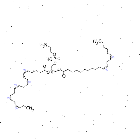 CC/C=C\C/C=C\C/C=C\C/C=C\C/C=C\CCCC(=O)O[C@H](COC(=O)CCCCCCCCC/C=C\C/C=C\CCCCC)COP(=O)(O)OCCN